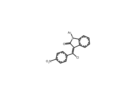 CC(=O)N1C(=O)C(=C(Cl)c2ccc([N+](=O)[O-])cc2)c2ccccc21